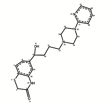 O=C1CSc2ccc(C(O)CCCN3CCN(c4ccccn4)CC3)cc2N1